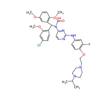 COc1ccc(OC)c(C(c2ccc(Cl)cc2OC)N(C(=O)O)c2ccnc(Nc3ccc(OCCN4CCN(C(C)C)CC4)c(F)c3)n2)c1